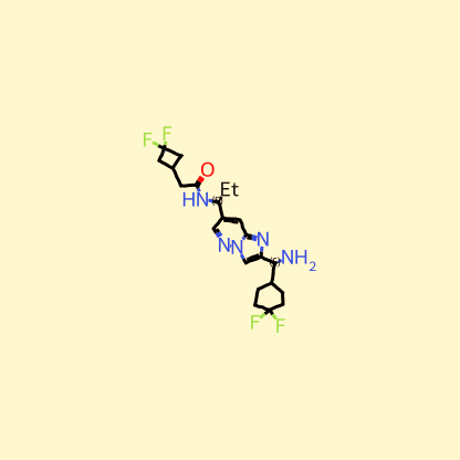 CC[C@H](NC(=O)CC1CC(F)(F)C1)c1cnn2cc([C@@H](N)C3CCC(F)(F)CC3)nc2c1